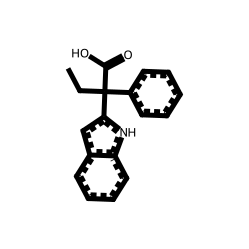 CCC(C(=O)O)(c1ccccc1)c1cc2ccccc2[nH]1